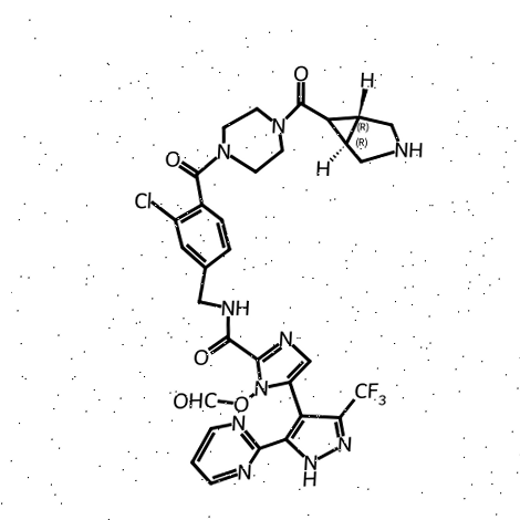 O=COn1c(-c2c(C(F)(F)F)n[nH]c2-c2ncccn2)cnc1C(=O)NCc1ccc(C(=O)N2CCN(C(=O)C3[C@@H]4CNC[C@@H]34)CC2)c(Cl)c1